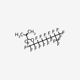 C=C(C)C(=O)OC(F)(C(F)(F)F)C(F)(F)C(F)(F)C(F)(F)C(F)(F)C(F)(C(F)(F)F)C(F)(F)F